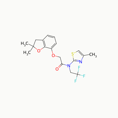 Cc1csc(N(CC(F)(F)F)C(=O)COc2cccc3c2OC(C)(C)C3)n1